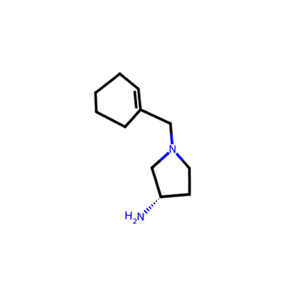 N[C@H]1CCN(CC2=CCCCC2)C1